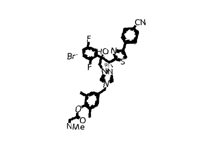 CNCC(=O)Oc1c(C)cc(C[n+]2cnn(C[C@](O)(c3cc(F)ccc3F)[C@@H](C)c3nc(-c4ccc(C#N)cc4)cs3)c2)cc1C.[Br-]